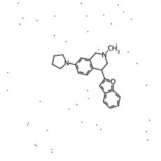 CN1Cc2cc(N3CCCC3)ccc2C(c2cc3ccccc3o2)C1